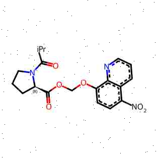 CC(C)C(=O)N1CCC[C@@H]1C(=O)OCOc1ccc([N+](=O)[O-])c2cccnc12